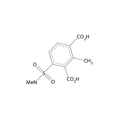 CNS(=O)(=O)c1ccc(C(=O)O)c(C)c1C(=O)O